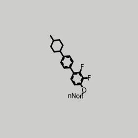 CCCCCCCCCOc1ccc(-c2ccc(C3CCC(C)CC3)cc2)c(F)c1F